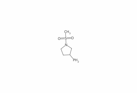 CS(=O)(=O)N1CCC(P)C1